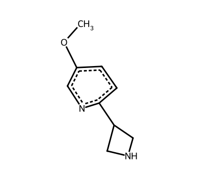 COc1ccc(C2CNC2)nc1